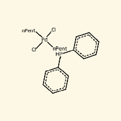 CCCC[CH2][Pd]([Cl])([Cl])[CH2]CCCC.c1ccc(Pc2ccccc2)cc1